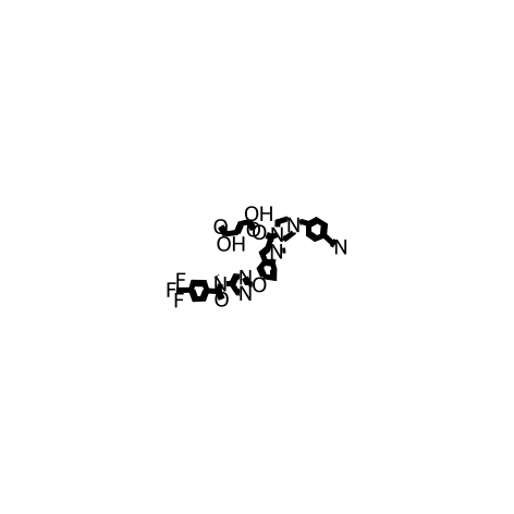 CN(C(=O)c1ccc(C(F)(F)F)cc1)c1cnc(Oc2ccc3c(c2)cc(C(=O)N2CCN(Cc4ccc(C#N)cc4)CC2)n3C)nc1.O=C(O)C=CC(=O)O